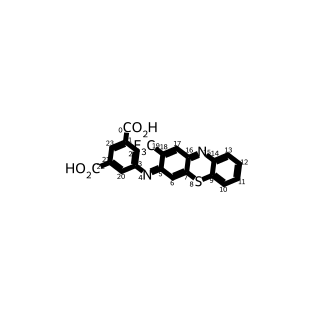 O=C(O)c1cc(N=c2cc3sc4ccccc4nc-3cc2C(F)(F)F)cc(C(=O)O)c1